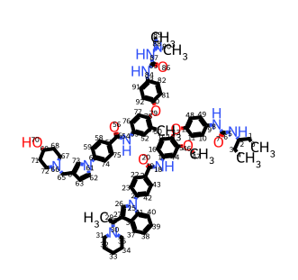 CCC(CC)NC(=O)Nc1ccc(Oc2ccc(NC(=O)c3ccc(-n4cc(C(C)N5CCCCC5)c5ccccc54)cc3)cc2OC)cc1.Cc1cc(NC(=O)c2ccc(-n3ccc(CN4CCC(O)CC4)c3)cc2)ccc1Oc1ccc(NC(=O)NN(C)C)cc1